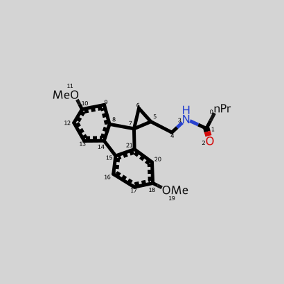 CCCC(=O)NCC1CC12c1cc(OC)ccc1-c1ccc(OC)cc12